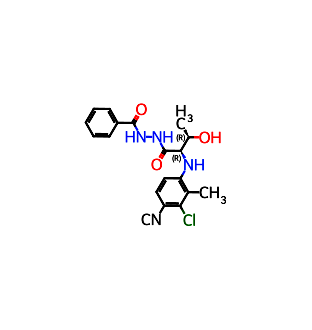 [C-]#[N+]c1ccc(N[C@@H](C(=O)NNC(=O)c2ccccc2)[C@@H](C)O)c(C)c1Cl